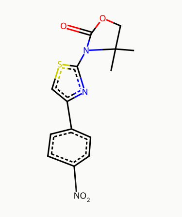 CC1(C)COC(=O)N1c1nc(-c2ccc([N+](=O)[O-])cc2)cs1